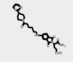 NC(=O)C(CCC=O)N1C(=O)c2ccc(NCCCCCC(=O)N3CCC(c4ncccn4)CC3)cc2C1=O